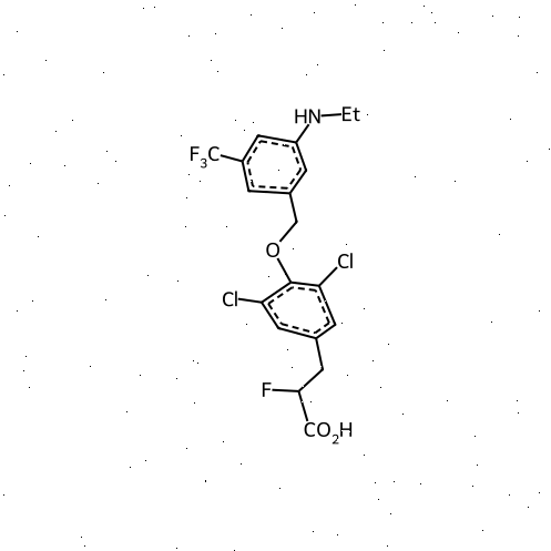 CCNc1cc(COc2c(Cl)cc(CC(F)C(=O)O)cc2Cl)cc(C(F)(F)F)c1